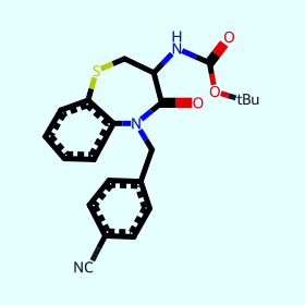 CC(C)(C)OC(=O)NC1CSc2ccccc2N(Cc2ccc(C#N)cc2)C1=O